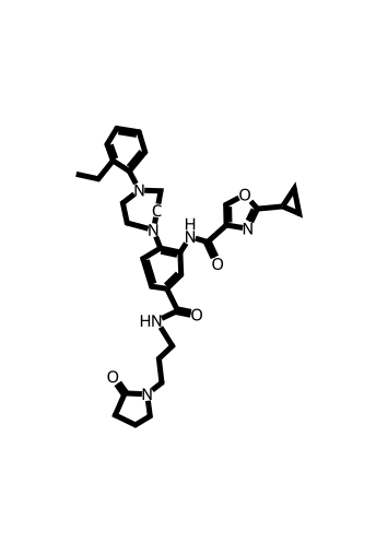 CCc1ccccc1N1CCN(c2ccc(C(=O)NCCCN3CCCC3=O)cc2NC(=O)c2coc(C3CC3)n2)CC1